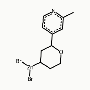 Cc1cc(C2C[CH]([Zn]([Br])[Br])CCO2)ccn1